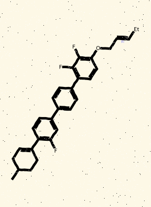 CC/C=C/COc1ccc(-c2ccc(-c3ccc(C4=CCC(C)CC4)c(F)c3)cc2)c(F)c1F